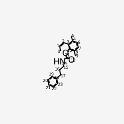 C/C=C\c1c(C)ccc(C)c1OC(=O)NCCCc1ccccc1